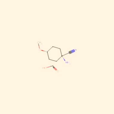 CO[C@H]1CC[C@](N)(C#N)CC1.O=CO